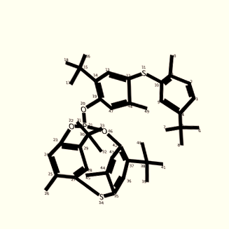 Cc1c[c]c(C(C)(C)C)cc1Sc1cc(C(C)(C)C)c(OP2Oc3cc(C)c(cc3C(C)(C)C)Sc3cc(C(C)(C)C)c(cc3C)O2)cc1C